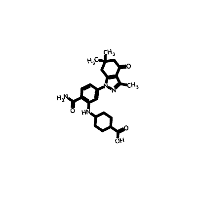 Cc1nn(-c2ccc(C(N)=O)c(NC3CCC(C(=O)O)CC3)c2)c2c1C(=O)CC(C)(C)C2